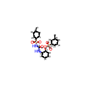 Cc1ccc(S(=O)(=O)NC(=O)Nc2ccccc2OS(=O)(=O)c2cccc(C)c2)cc1